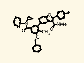 CNC(=O)c1c(-c2ccc(F)cc2)oc2ccc(-c3cc(C(=O)N(c4ccccn4)C4CC4)cc(OCc4ccccc4)c3C)cc12